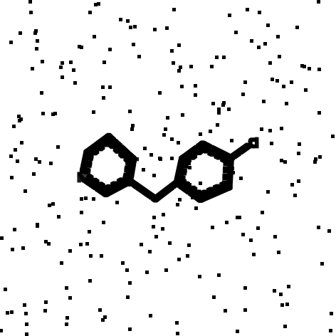 Clc1ccc(Cc2[c]ccnc2)cc1